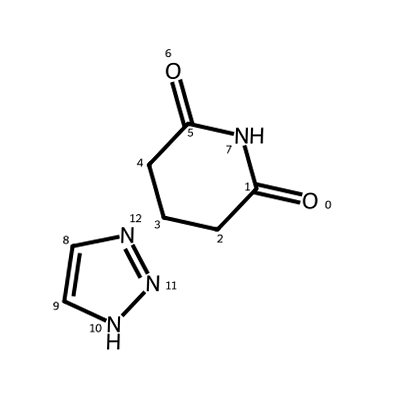 O=C1CCCC(=O)N1.c1c[nH]nn1